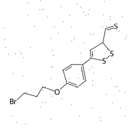 S=CC1C=C(c2ccc(OCCCBr)cc2)SS1